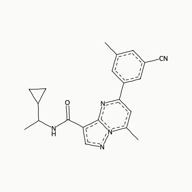 Cc1cc(C#N)cc(-c2cc(C)n3ncc(C(=O)NC(C)C4CC4)c3n2)c1